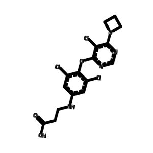 O=C(O)CCNc1cc(Cl)c(Oc2ncnc(N3CCC3)c2Cl)c(Cl)c1